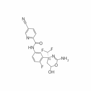 N#Cc1ccc(C(=O)Nc2ccc(F)c([C@]3(C(F)F)CC(O)OC(N)=N3)c2)nc1